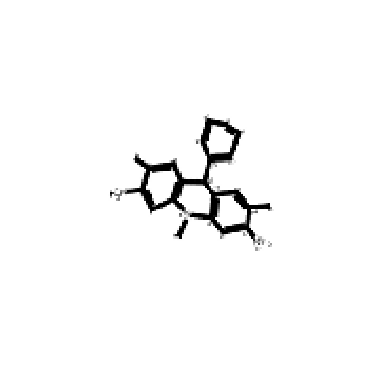 Cc1cc2c(cc1N)N(C)c1cc(N)c(C)cc1C2c1ccccc1